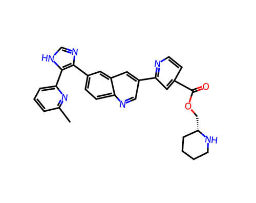 Cc1cccc(-c2[nH]cnc2-c2ccc3ncc(-c4cc(C(=O)OC[C@H]5CCCCN5)ccn4)cc3c2)n1